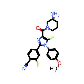 COc1ccc(-n2c(-c3ccc(C#N)c(F)c3)nc(C(=O)N3CCC[C@H](N)C3)c2F)cc1